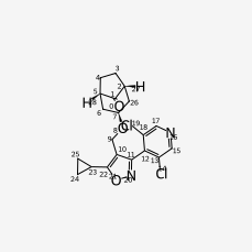 O=C1[C@@H]2CC[C@H]1C[C@H](OCc1c(-c3c(Cl)cncc3Cl)noc1C1CC1)C2